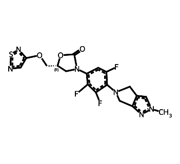 Cn1cc2c(n1)CN(c1c(F)cc(N3C[C@H](COc4cnsn4)OC3=O)c(F)c1F)C2